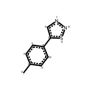 [CH2]c1ccc(-c2cnns2)cc1